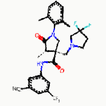 Cc1cccc(C)c1N1C[C@@](CN2CCC(F)(F)C2)(C(=O)Nc2cc(C#N)cc(C(F)(F)F)c2)[C@H](C)C1=O